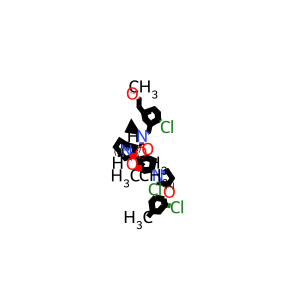 COCCc1ccc(Cl)c(CN(C(=O)[C@@H]2[C@@H](c3ccc(N4CC[C@@H](Oc5c(Cl)cc(C)cc5Cl)C4)cc3)C[C@@H]3CC[C@H]2N3C(=O)OC(C)(C)C)C2CC2)c1